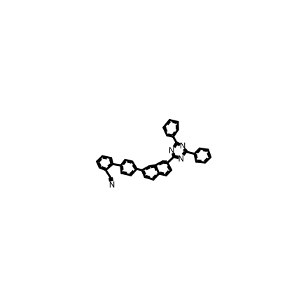 N#Cc1ccccc1-c1ccc(-c2ccc3ccc(-c4nc(-c5ccccc5)nc(-c5ccccc5)n4)cc3c2)cc1